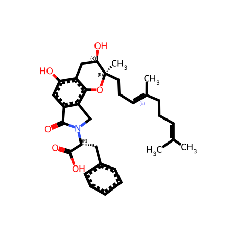 CC(C)=CCC/C(C)=C/CC[C@@]1(C)Oc2c(c(O)cc3c2CN([C@H](Cc2ccccc2)C(=O)O)C3=O)C[C@H]1O